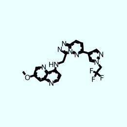 COc1cnc2c(NCc3nnc4ccc(-c5cnn(CC(F)(F)F)c5)nn34)ccnc2c1